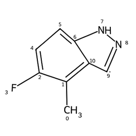 Cc1c(F)ccc2[nH]n[c]c12